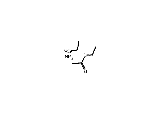 CCO.CCOC(C)=O.N